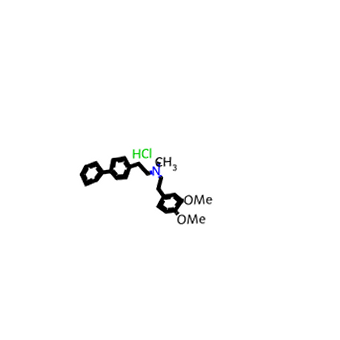 COc1ccc(CCN(C)CCc2ccc(-c3ccccc3)cc2)cc1OC.Cl